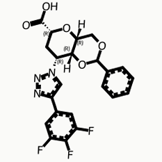 O=C(O)[C@H]1C[C@@H](n2cc(-c3cc(F)c(F)c(F)c3)nn2)[C@H]2OC(c3ccccc3)OC[C@H]2O1